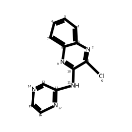 Clc1nc2ccccc2nc1Nc1cnccn1